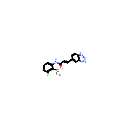 Cc1c(F)cccc1NC(=O)/C=C/c1ccc2nn[nH]c2c1